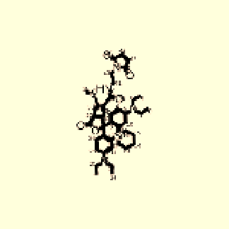 CCN(CC)c1ccc2c(c1)[Si]1(CCCCC1)c1cc(N(CC)CC)ccc1C21OC(=O)c2cc(SC)c(C(=O)NCCN3C(=O)C=CC3=O)cc21